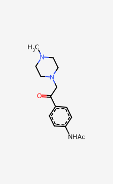 CC(=O)Nc1ccc(C(=O)CN2CCN(C)CC2)cc1